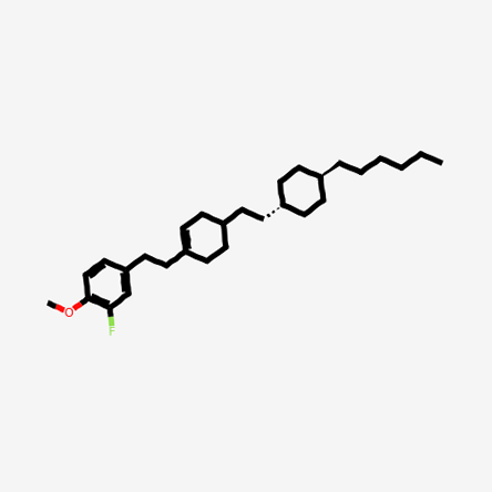 CCCCCC[C@H]1CC[C@H](CCC2CC=C(CCc3ccc(OC)c(F)c3)CC2)CC1